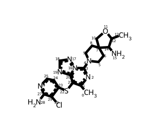 Cc1nc(N2CCC3(CC2)COC(C)C3N)n2ncnc2c1Sc1ccnc(N)c1Cl